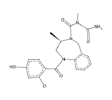 C[C@@H]1CN(C(=O)c2ccc(O)cc2Cl)c2ccccc2CN1C(=O)N(C)C(N)=O